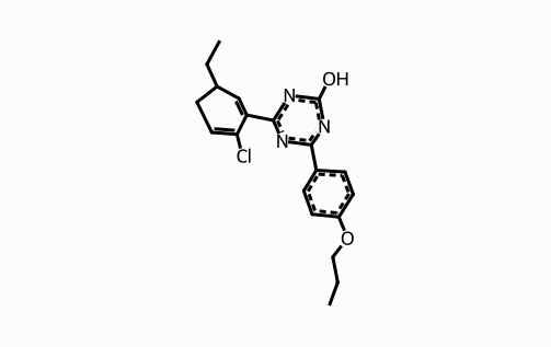 CCCOc1ccc(-c2nc(O)nc(C3=CC(CC)CC=C3Cl)n2)cc1